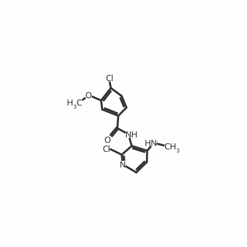 CNc1ccnc(Cl)c1NC(=O)c1ccc(Cl)c(OC)c1